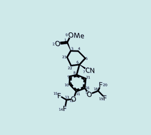 COC(=O)[C@H]1CC[C@](C#N)(c2ccc(OC(F)F)c(OC(F)F)c2)CC1